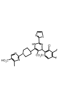 CCOC(=O)C1=C(C2CCN(c3ncc(C(=O)O)c(C)n3)CC2)NC(c2nccs2)=NC1c1ccc(F)c(F)c1Cl